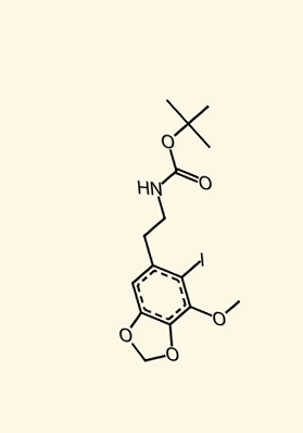 COc1c(I)c(CCNC(=O)OC(C)(C)C)cc2c1OCO2